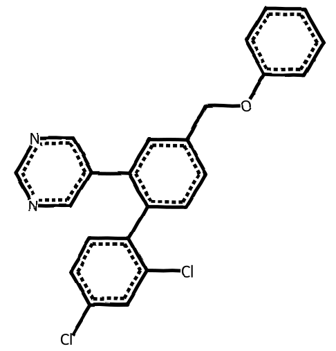 Clc1ccc(-c2ccc(COc3ccccc3)cc2-c2cncnc2)c(Cl)c1